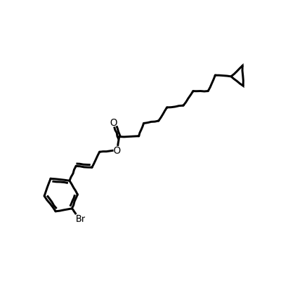 O=C(CCCCCCCCC1CC1)OCC=Cc1cccc(Br)c1